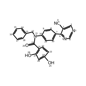 N#Cc1cncnc1-c1ccc(N(Cc2ccccc2)C(=O)c2ccc(O)cc2O)cc1